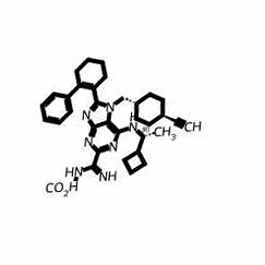 C#C[C@H]1CC[C@H](Cn2c(C3=C(c4ccccc4)CCCC3)nc3nc(C(=N)NC(=O)O)nc(N[C@H](C)C4CCC4)c32)CC1